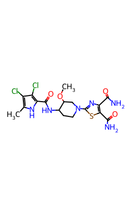 COC1CN(c2nc(C(N)=O)c(C(N)=O)s2)CCC1NC(=O)c1[nH]c(C)c(Cl)c1Cl